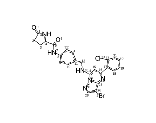 O=C1CCC(C(=O)Nc2ccc(CNc3cc(-c4ccccc4Cl)nc4c(Br)cnn34)cc2)N1